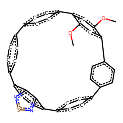 COc1cc2c(OC)cc1-c1ccc(cc1)-c1ccc(cc1)-c1ccc(c3nsnc13)-c1ccc(cc1)-c1ccc-2cc1